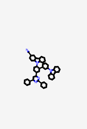 N#Cc1ccc2c(c1)c1ccccc1n2-c1ccc(-c2cc(-c3ccccc3)nc(-c3ccccc3)n2)cc1-c1cccc(-n2c3ccccc3c3ccccc32)c1